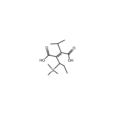 CCC(/C(C(=O)O)=C(\C(=O)O)C(C)C)[Si](C)(C)C